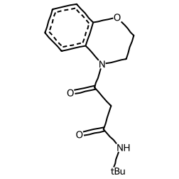 CC(C)(C)NC(=O)CC(=O)N1CCOc2ccccc21